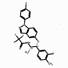 Cc1ccc([C@@H](Oc2ccc3c(cnn3-c3ccc(F)cc3)c2)[C@H](C)NC(=O)C(F)(F)F)cc1F